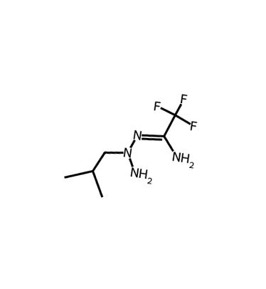 CC(C)CN(N)/N=C(\N)C(F)(F)F